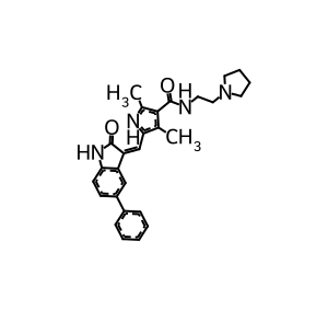 Cc1[nH]c(C=C2C(=O)Nc3ccc(-c4ccccc4)cc32)c(C)c1C(=O)NCCN1CCCC1